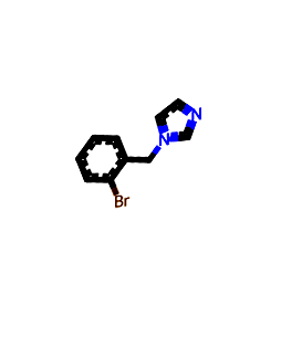 Brc1ccccc1Cn1ccnc1